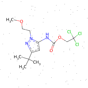 COCCn1nc(C(C)(C)C)cc1NC(=O)OCC(Cl)(Cl)Cl